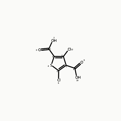 O=C(O)c1sc(Cl)c(C(=O)O)c1Cl